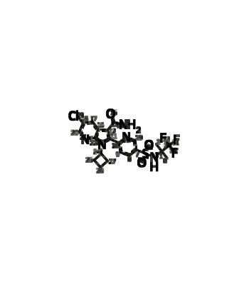 CC(C)(NS(=O)(=O)c1ccc(-c2c(C(N)=O)c3cc(Cl)cnc3n2C2CCC2)nc1)C(F)(F)F